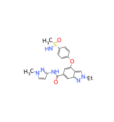 CCn1cc2c(Oc3ccc(S(C)(=N)=O)cc3)cc(C(=O)Nc3ccn(C)n3)cc2n1